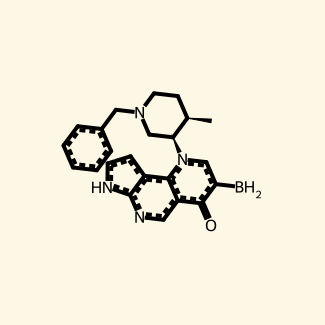 Bc1cn([C@H]2CN(Cc3ccccc3)CC[C@H]2C)c2c(cnc3[nH]ccc32)c1=O